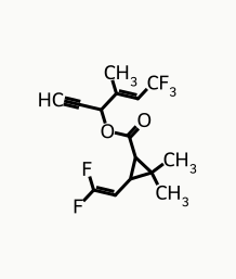 C#CC(OC(=O)C1C(C=C(F)F)C1(C)C)C(C)=CC(F)(F)F